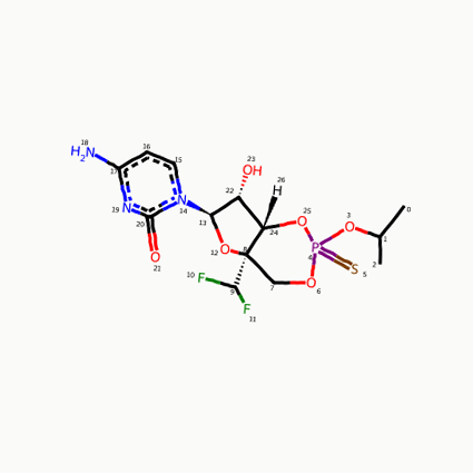 CC(C)OP1(=S)OC[C@@]2(C(F)F)O[C@@H](n3ccc(N)nc3=O)[C@H](O)[C@@H]2O1